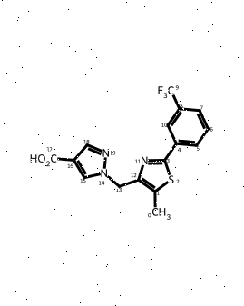 Cc1sc(-c2cccc(C(F)(F)F)c2)nc1Cn1cc(C(=O)O)cn1